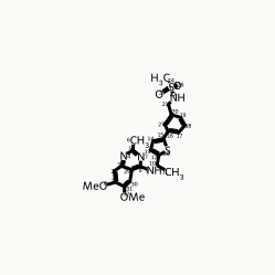 COc1cc2nc(C)nc(NC(C)c3ccc(-c4cccc(CNS(C)(=O)=O)c4)s3)c2cc1OC